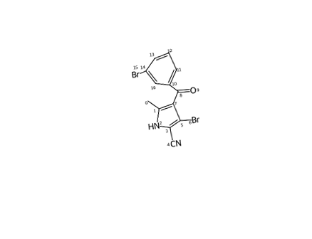 Cc1[nH]c(C#N)c(Br)c1C(=O)c1cccc(Br)c1